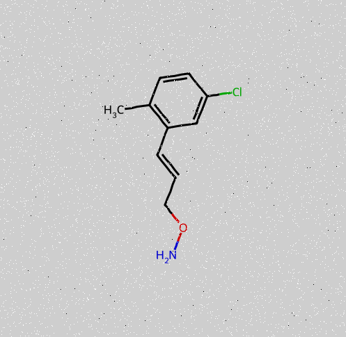 Cc1ccc(Cl)cc1C=CCON